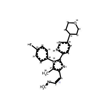 C=N/C=C\c1nc(-c2ccc(C3CCOCC3)nn2)n(-c2ccc(F)cc2)c1C